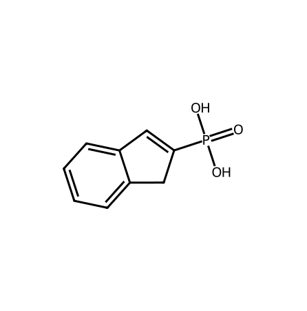 O=P(O)(O)C1=Cc2ccccc2C1